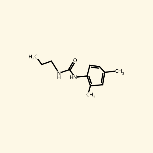 CCCNC(=O)Nc1ccc(C)cc1C